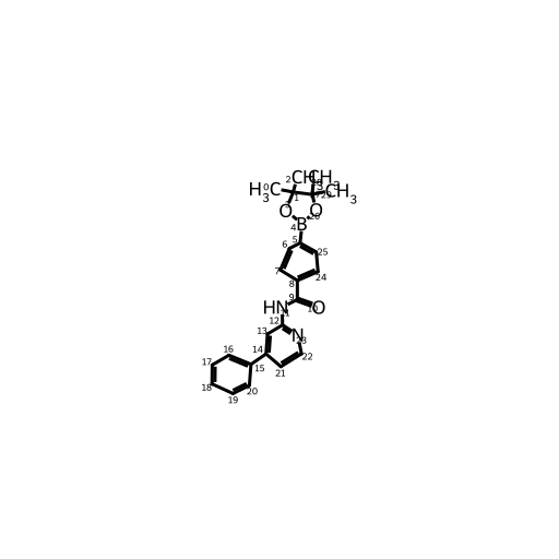 CC1(C)OB(c2ccc(C(=O)Nc3cc(-c4ccccc4)ccn3)cc2)OC1(C)C